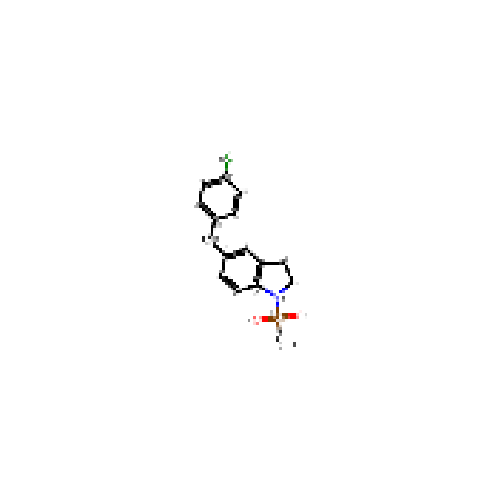 CS(=O)(=O)N1CCc2cc([Se]c3ccc(Cl)cc3)ccc21